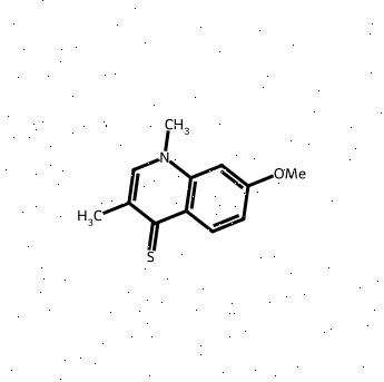 COc1ccc2c(=S)c(C)cn(C)c2c1